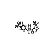 CC(C)C(OS(C)(=O)=O)C(=O)N[C@@H](C)c1ccc(C(=O)O)cc1